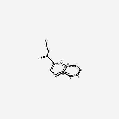 CCCC(=O)c1ccc2ccccc2n1